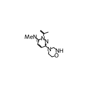 C=C(C)N1N=C(N2CCONC2)C=C[C@H]1NC